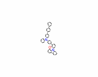 c1ccc(-c2ccc(-c3ccc(N(c4ccccc4)c4ccc(-c5cccc6c5Oc5cccc7c8ccccc8n-6c57)cc4)cc3)cc2)cc1